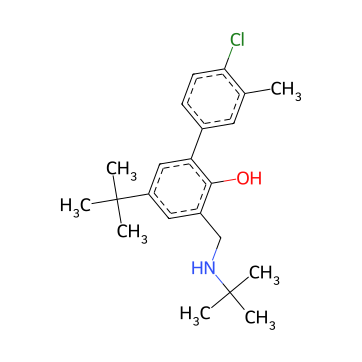 Cc1cc(-c2cc(C(C)(C)C)cc(CNC(C)(C)C)c2O)ccc1Cl